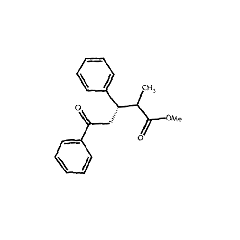 COC(=O)C(C)[C@H](CC(=O)c1ccccc1)c1ccccc1